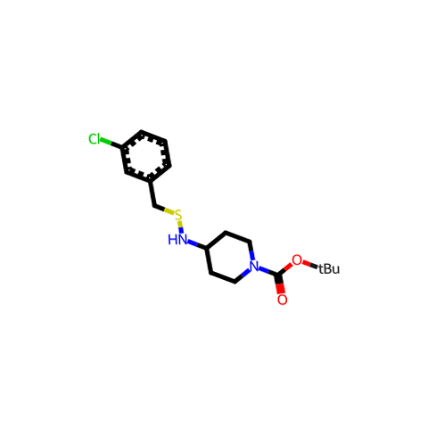 CC(C)(C)OC(=O)N1CCC(NSCc2cccc(Cl)c2)CC1